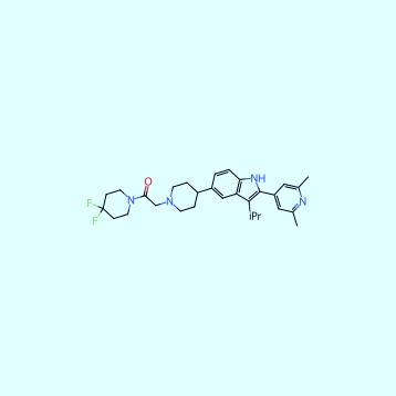 Cc1cc(-c2[nH]c3ccc(C4CCN(CC(=O)N5CCC(F)(F)CC5)CC4)cc3c2C(C)C)cc(C)n1